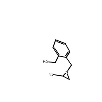 CCC1CN1Cc1ccccc1CO